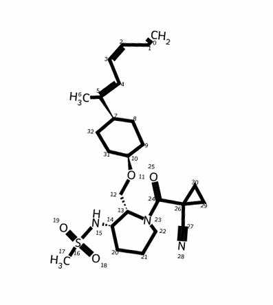 C=C/C=C\C=C(/C)[C@H]1CC[C@@H](OC[C@H]2[C@@H](NS(C)(=O)=O)CCCN2C(=O)C2(C#N)CC2)CC1